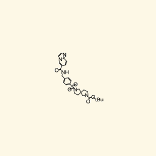 CC(C)(C)OC(=O)N1CCC2(CCN(S(=O)(=O)c3ccc(CNC(=O)c4ccc5nccn5c4)cc3)C2)C1